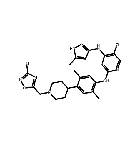 CCc1noc(CN2CCC(c3cc(C)c(Nc4ncc(Cl)c(Nc5cc(C)[nH]n5)n4)cc3C)CC2)n1